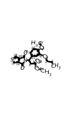 CCCOc1cc(C(CC(=O)OC)N2C(=O)c3cscc3C2=O)ccc1OC